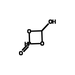 O=[PH]1OC(O)O1